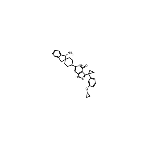 N[C@@H]1c2ccccc2CC12CCN(c1nc3[nH]nc(C4(c5cccc(OC6CC6)c5)CC4)c3c(=O)[nH]1)CC2